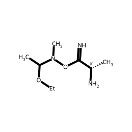 CCOC(C)N(C)OC(=N)[C@H](C)N